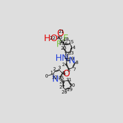 Cc1ccc(Oc2ccnc(Nc3cccc(C(F)(F)C(=O)O)c3)c2)c(-c2ccccc2)n1